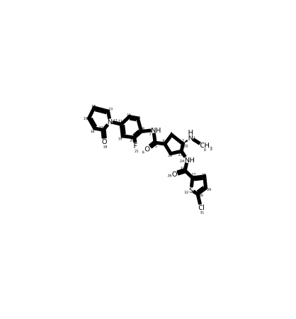 CN[C@H]1CC(C(=O)Nc2ccc(-n3ccccc3=O)cc2F)CC1NC(=O)c1ccc(Cl)s1